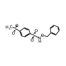 CS(=O)(=O)c1ccc(S(=O)(=O)NOCc2ccccc2)cc1